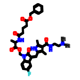 CCN(CC)CCNC(=O)c1c(C)[nH]c(/C=C2\C(=O)N(COC(=O)C(C)NC(=O)CCCC(=O)OCc3ccccc3)c3ccc(F)cc32)c1C